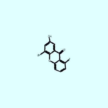 O=c1c2cc(O)cc(Br)c2oc2cccc(F)c12